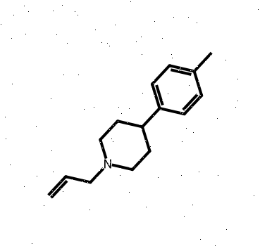 C=CCN1CCC(c2ccc(C)cc2)CC1